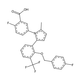 Cc1ccc(-c2cccc(C(F)(F)F)c2OCc2ccc(F)cc2)n1-c1ccc(F)c(C(=O)O)c1